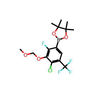 COCOc1c(F)c(B2OC(C)(C)C(C)(C)O2)cc(C(F)(F)F)c1Cl